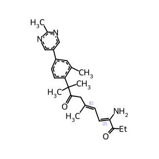 CCC(=O)/C(N)=C/C=C(\C)CC(=O)C(C)(C)c1ccc(-c2cnc(C)nc2)cc1C